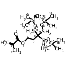 C=C(C)C(=O)OCCC([SiH2]O[Si](C)(C)C)([SiH2]O[Si](C)(C)C)[SiH2]O[Si](C)(C)C